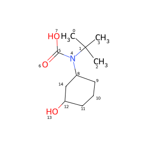 CC(C)(C)N(C(=O)O)C1CCCC(O)C1